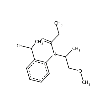 CCC(=O)N(c1ccccc1C(C)Cl)C(C)COC